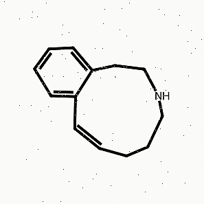 C1=C\c2ccccc2CCNCCC/1